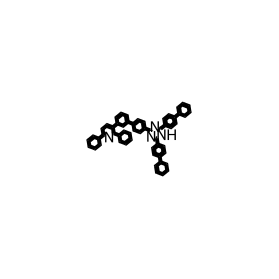 C1=CCCC(c2ccc(C3=NC(C4=CC=C(C5=CC=CC(C6=CCC(C7C=CCCC7)N=C6C6CC=CCC6)C5)CC4)=NC(c4ccc(C5C=CCCC5)cc4)N3)cc2)=C1